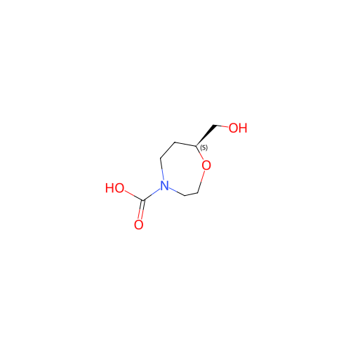 O=C(O)N1CCO[C@H](CO)CC1